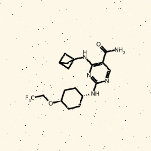 NC(=O)c1cnc(N[C@H]2CC[C@H](OCC(F)(F)F)CC2)nc1NC12CC(C1)C2